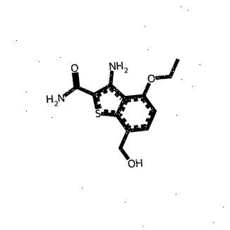 CCOc1ccc(CO)c2sc(C(N)=O)c(N)c12